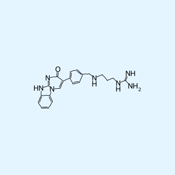 N=C(N)NCCCNCc1ccc(-c2cn3c(nc2=O)[nH]c2ccccc23)cc1